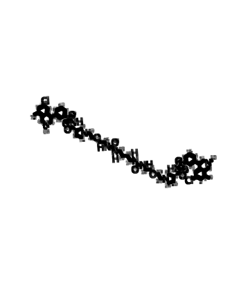 Cc1cc(Cl)cc2c1CN(C)CC2c1cccc(S(=O)(=O)NC(=O)[C@@H]2CCN(CCOCCNC(=O)NCCCCNC(=O)NCCOCCN3CC[C@@H](C(=O)NS(=O)(=O)c4cccc(C5CN(C)Cc6c(C)cc(Cl)cc65)c4)C3)C2)c1